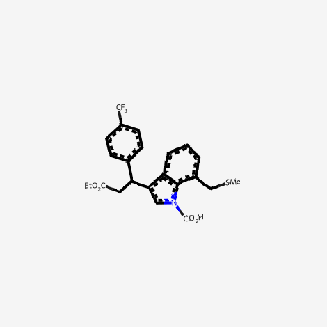 CCOC(=O)CC(c1ccc(C(F)(F)F)cc1)c1cn(C(=O)O)c2c(CSC)cccc12